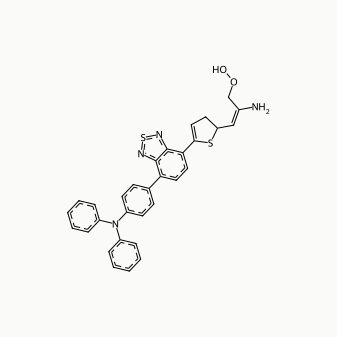 N/C(=C/C1CC=C(c2ccc(-c3ccc(N(c4ccccc4)c4ccccc4)cc3)c3nsnc23)S1)COO